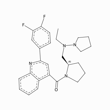 CCN(C[C@H]1CCCN1C(=O)c1cc(-c2ccc(F)c(F)c2)nc2ccccc12)N1CCCC1